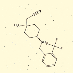 C[C@]1(CC#N)CC[C@@H](NCc2ccccc2C(F)(F)F)CC1